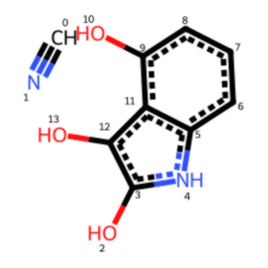 C#N.Oc1[nH]c2cccc(O)c2c1O